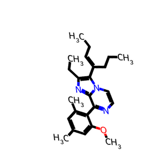 CC/C=C(\CCC)c1c(CC)nc2c(-c3c(C)cc(C)cc3OC)nccn12